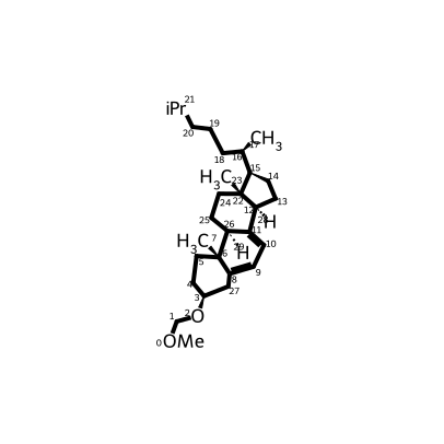 COCO[C@H]1CC[C@@]2(C)C(=CC=C3[C@@H]4CC[C@H]([C@H](C)CCCC(C)C)[C@@]4(C)CC[C@@H]32)C1